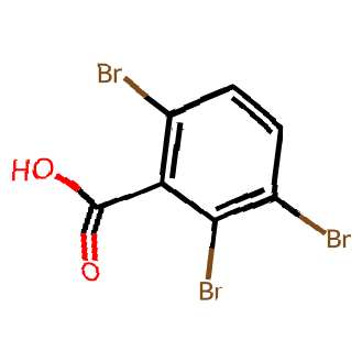 O=C(O)c1c(Br)ccc(Br)c1Br